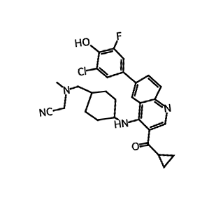 CN(CC#N)CC1CCC(Nc2c(C(=O)C3CC3)cnc3ccc(-c4cc(F)c(O)c(Cl)c4)cc23)CC1